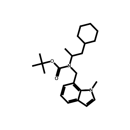 CC(CC1CCCCC1)N(Cc1cccc2ccn(C)c12)C(=O)OC(C)(C)C